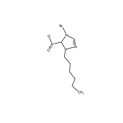 CCCCCCN1N=CN(Br)C1[N+](=O)[O-]